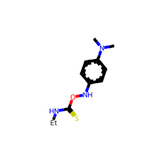 CCNC(=S)ONc1ccc(N(C)C)cc1